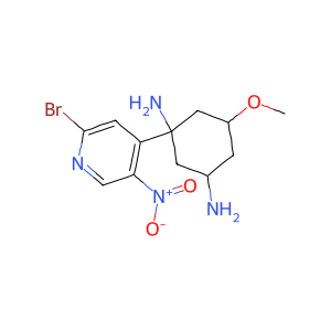 COC1CC(N)CC(N)(c2cc(Br)ncc2[N+](=O)[O-])C1